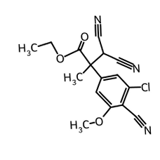 CCOC(=O)C(C)(c1cc(Cl)c(C#N)c(OC)c1)C(C#N)C#N